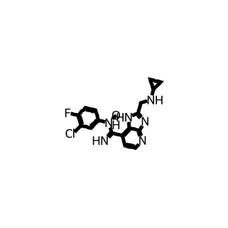 N=C(c1ccnc2nc(CNC3CC3)[nH]c12)N(O)c1ccc(F)c(Cl)c1